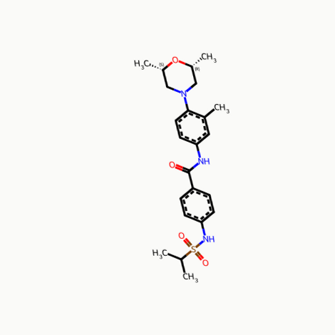 Cc1cc(NC(=O)c2ccc(NS(=O)(=O)C(C)C)cc2)ccc1N1C[C@@H](C)O[C@@H](C)C1